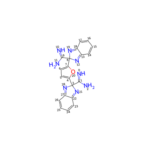 N=C(N)C1(c2ccc(C3(C(=N)N)N=c4ccccc4=N3)o2)N=c2ccccc2=N1